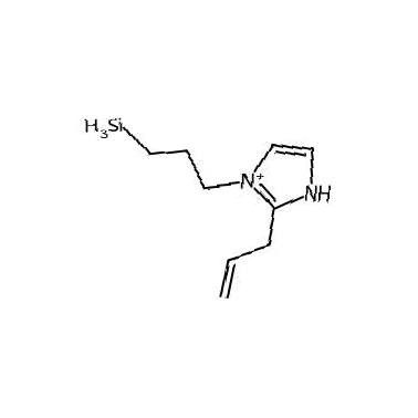 C=CCc1[nH]cc[n+]1CCC[SiH3]